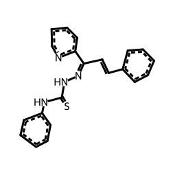 S=C(NN=C(C=Cc1ccccc1)c1ccccn1)Nc1ccccc1